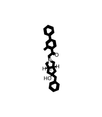 Cc1cc(-c2ccccc2)ccc1C(=O)CN1C[C@@H]2C[C@](O)(Cc3ccccc3)C[C@@H]2C1